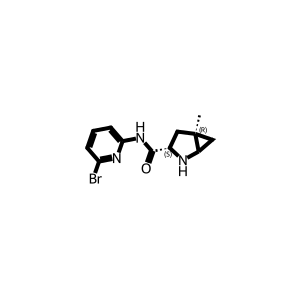 C[C@]12CC1N[C@H](C(=O)Nc1cccc(Br)n1)C2